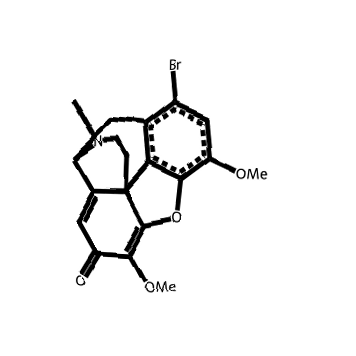 COC1=C2Oc3c(OC)cc(Br)c4c3C23CCN(C)C(C4)C3=CC1=O